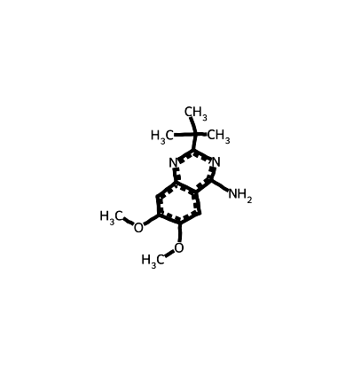 COc1cc2nc(C(C)(C)C)nc(N)c2cc1OC